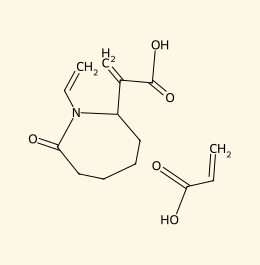 C=CC(=O)O.C=CN1C(=O)CCCCC1C(=C)C(=O)O